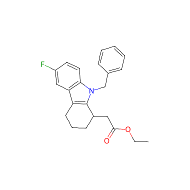 CCOC(=O)CC1CCCc2c1n(Cc1ccccc1)c1ccc(F)cc21